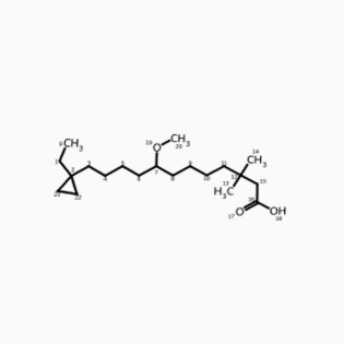 CCC1(CCCCC(CCCCC(C)(C)CC(=O)O)OC)CC1